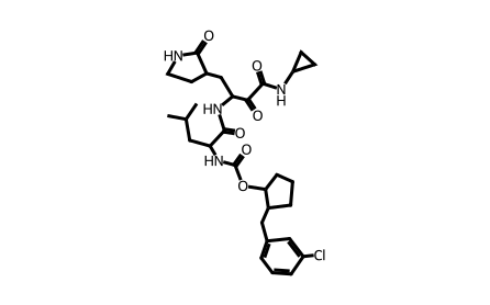 CC(C)CC(NC(=O)OC1CCCC1Cc1cccc(Cl)c1)C(=O)NC(CC1CCNC1=O)C(=O)C(=O)NC1CC1